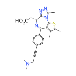 Cc1sc2c(c1C)C(c1ccc(C#CCN(C)C)cc1)=N[C@H](CC(=O)O)c1nnc(C)n1-2